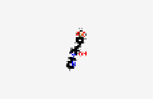 CC(C)(c1ccccn1)N1CC[C@](CO)(CCc2ccc(S(C)(=O)=O)cc2)C1